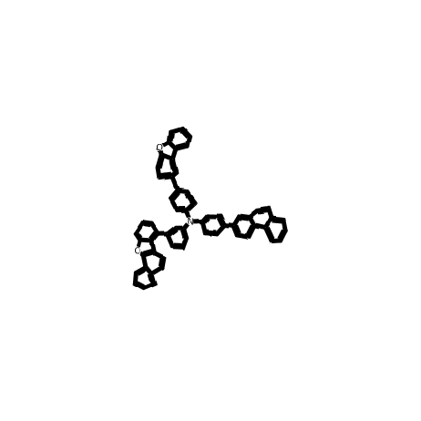 c1cc(-c2cccc3oc4c5ccccc5ccc4c23)cc(N(c2ccc(-c3ccc4c(ccc5ccccc54)c3)cc2)c2ccc(-c3ccc4oc5ccccc5c4c3)cc2)c1